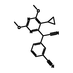 COc1nc(OC)c(C2CC2)c(C(C#N)c2cccc(C#N)c2)n1